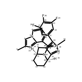 Cc1cn2ccnc(C(=O)N3[C@H]4CCC[C@@H]3c3nn(C)c(-c5cc(F)c(F)c(F)c5)c3C4)c2n1